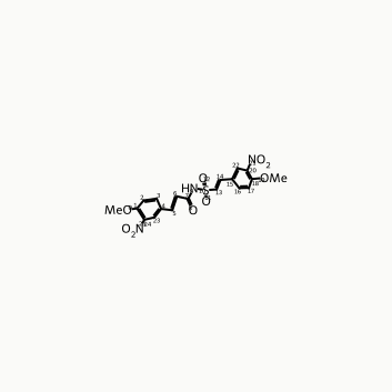 COc1ccc(/C=C/C(=O)NS(=O)(=O)/C=C/c2ccc(OC)c([N+](=O)[O-])c2)cc1[N+](=O)[O-]